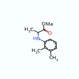 COC(=O)C(C)Nc1cccc(C)c1C